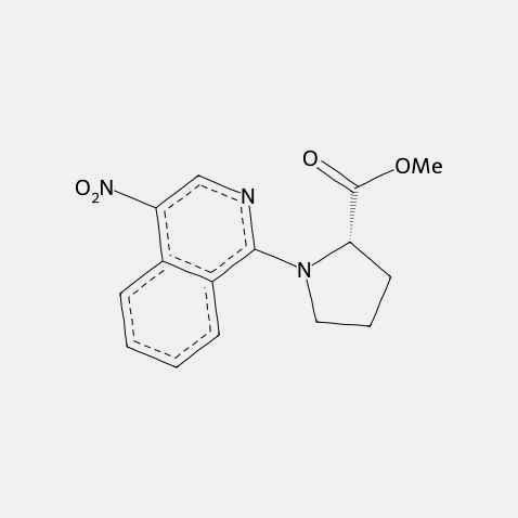 COC(=O)[C@@H]1CCCN1c1ncc([N+](=O)[O-])c2ccccc12